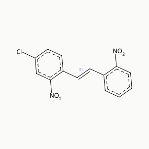 O=[N+]([O-])c1ccccc1/C=C/c1ccc(Cl)cc1[N+](=O)[O-]